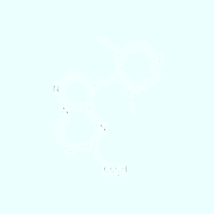 Cc1cccc(C)c1-c1cnn2ccc(C(=O)O)nc12